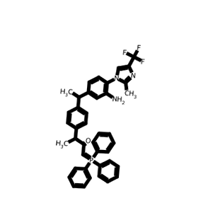 Cc1nc(C(F)(F)F)cn1-c1ccc(C(C)c2ccc(C(C)C(=O)C=P(c3ccccc3)(c3ccccc3)c3ccccc3)cc2)cc1N